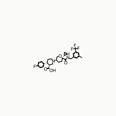 Cc1cc(CNC(=O)[C@@]2(C3CC3)CC[C@@H](N3CC[C@@H](c4ccc(F)cc4)[C@H](C(=O)O)C3)CO2)cc(C(F)(F)F)c1